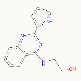 OCCNc1nc(-c2ccc[nH]2)nc2ccccc12